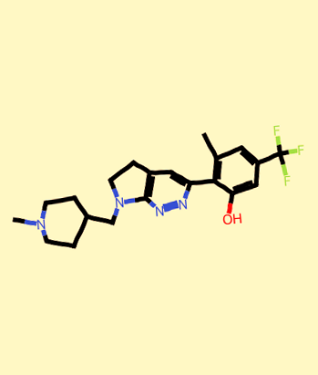 Cc1cc(C(F)(F)F)cc(O)c1-c1cc2c(nn1)N(CC1CCN(C)CC1)CC2